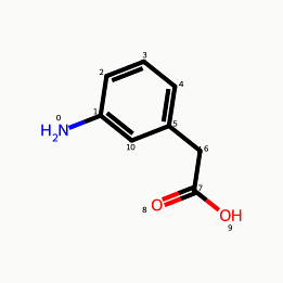 Nc1cccc([CH]C(=O)O)c1